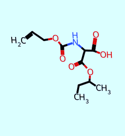 C=CCOC(=O)NC(C(=O)O)C(=O)OC(C)CC